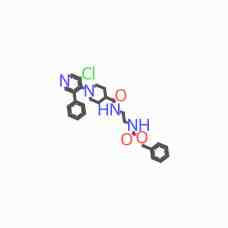 O=C(NCCNC(=O)C1CCN(c2c(Cl)cncc2-c2ccccc2)CC1)OCc1ccccc1